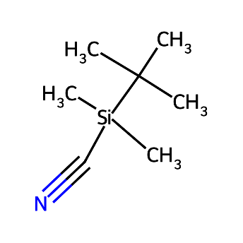 CC(C)(C)[Si](C)(C)C#N